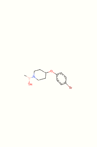 CB(O)N1CCC(Oc2ccc(Br)cc2)CC1